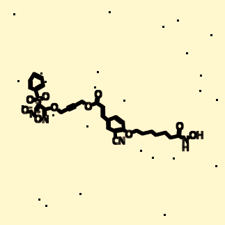 N#Cc1cc(C=CC(=O)OCC#CCOc2no[n+]([O-])c2S(=O)(=O)c2ccccc2)ccc1OCCCCCCC(=O)NO